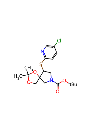 CC(C)(C)OC(=O)N1CC(Sc2ccc(Cl)cn2)C2(COC(C)(C)O2)C1